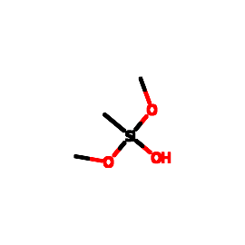 CO[Si](C)(O)OC